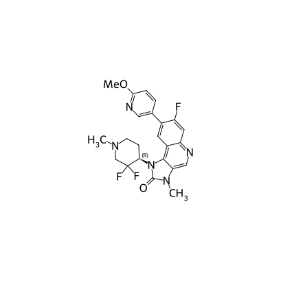 COc1ccc(-c2cc3c(cc2F)ncc2c3n([C@@H]3CCN(C)CC3(F)F)c(=O)n2C)cn1